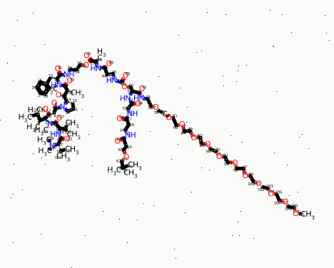 CC[C@H](C)[C@@H]([C@@H](CC(=O)N1CCC[C@H]1[C@H](OC)[C@@H](C)C(=O)N[C@@H](Cc1ccccc1)C(=O)NCCCOC(=O)C(C)NC(=O)CCNC(=O)OCC(NC(=O)CNC(=O)CCNC(=O)CCOCC(C)(C)C)C(=O)NCCOCCOCCOCCOCCOCCOCCOCCOCCOCCOCCOCCOC)OC)N(C)C(=O)C(NC(=O)[C@H](C(C)C)N(C)C)C(C)C